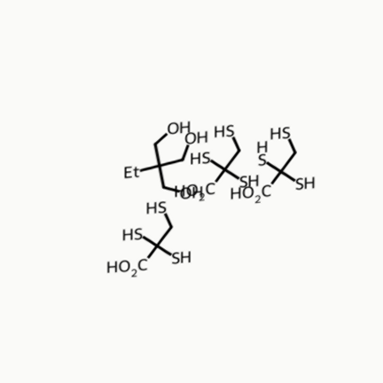 CCC(CO)(CO)CO.O=C(O)C(S)(S)CS.O=C(O)C(S)(S)CS.O=C(O)C(S)(S)CS